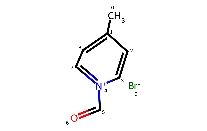 Cc1cc[n+](C=O)cc1.[Br-]